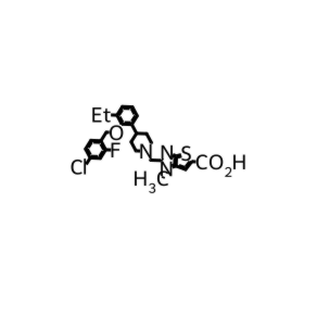 CCc1cccc(C2CCN(Cc3nc4sc(C(=O)O)cc4n3C)CC2)c1OCc1ccc(Cl)cc1F